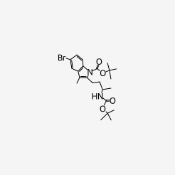 Cc1c(CCC(C)NC(=O)OC(C)(C)C)n(C(=O)OC(C)(C)C)c2ccc(Br)cc12